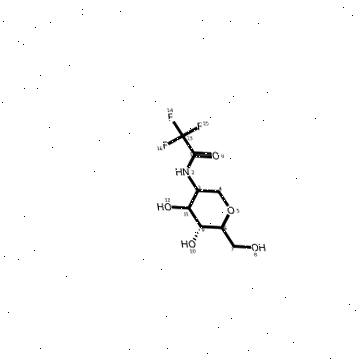 O=C(NC1COC(CO)[C@H](O)C1O)C(F)(F)F